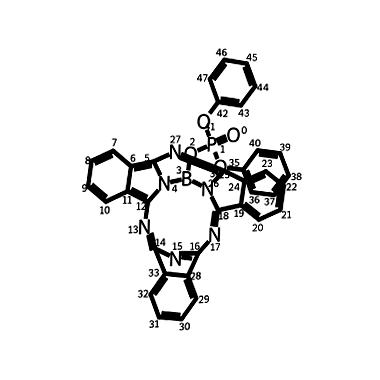 O=P(OB1n2c3c4ccccc4c2/N=C2N=C(/N=c4/c5ccccc5c(n41)=N3)c1ccccc1\2)(Oc1ccccc1)Oc1ccccc1